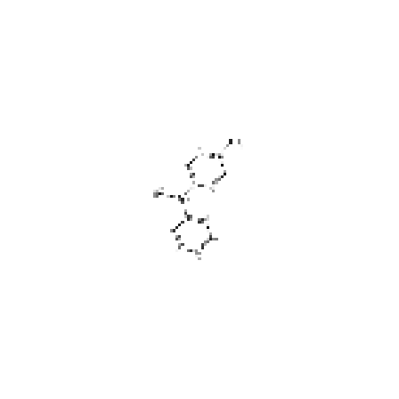 Cc1ccc(N(c2ccncc2)C(C)C)cc1